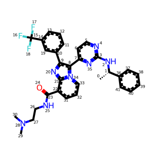 C[C@H](Nc1nccc(-c2c(-c3cccc(C(F)(F)F)c3)nc3c(C(=O)NCCN(C)C)cccn23)n1)c1ccccc1